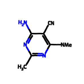 CNc1nc(C)nc(N)c1C#N